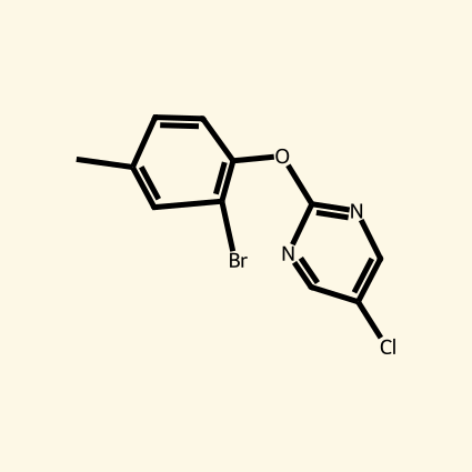 Cc1ccc(Oc2ncc(Cl)cn2)c(Br)c1